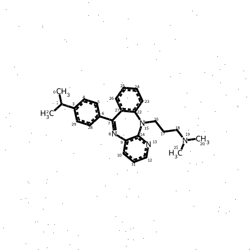 CC(C)c1ccc(C2=Nc3cccnc3N(CCCN(C)C)c3ccccc32)cc1